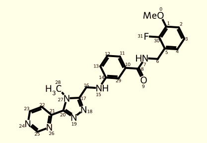 COc1cccc(CNC(=O)c2cccc(NCc3nnc(-c4ccncn4)n3C)c2)c1F